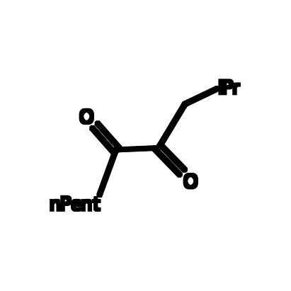 CCCCCC(=O)C(=O)CC(C)C